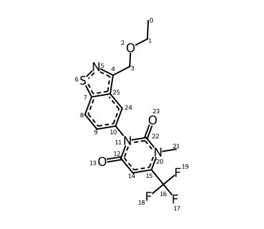 CCOCc1nsc2ccc(-n3c(=O)cc(C(F)(F)F)n(C)c3=O)cc12